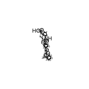 CCCC(Nc1cccc(CC(=O)O)c1)S(=O)(=O)c1ccc(OC[C@@H]2CN(C)c3ccccc3O2)cc1